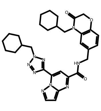 O=C(NCc1ccc2c(c1)N(CC1CCCCC1)C(=O)CO2)c1cc(-c2nnn(CC3CCCCC3)n2)n2nccc2n1